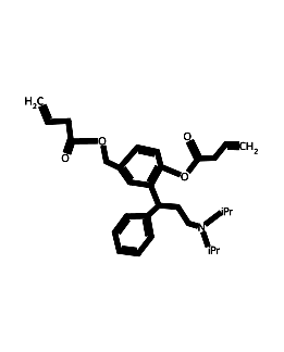 C=CCC(=O)OCc1ccc(OC(=O)CC=C)c(C(CCN(C(C)C)C(C)C)c2ccccc2)c1